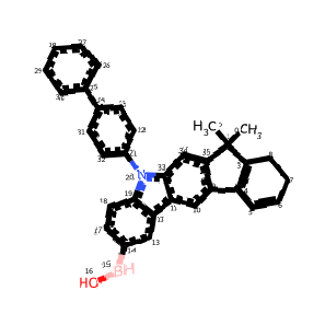 CC1(C)C2=C(C=CCC2)c2cc3c4cc(BO)ccc4n(-c4ccc(-c5ccccc5)cc4)c3cc21